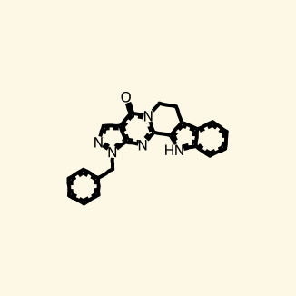 O=c1c2cnn(Cc3ccccc3)c2nc2n1CCc1c-2[nH]c2ccccc12